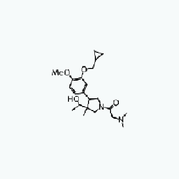 COc1ccc(C2CN(C(=O)CN(C)C)CC2(C)[C@@H](C)O)cc1OCC1CC1